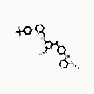 COc1nc(NCC2CCC[C@@H](c3ccc(C(F)(F)F)cc3)O2)cc(C(=O)N2CCC(N[C@@H]3CCOC[C@@H]3OC)CC2)n1